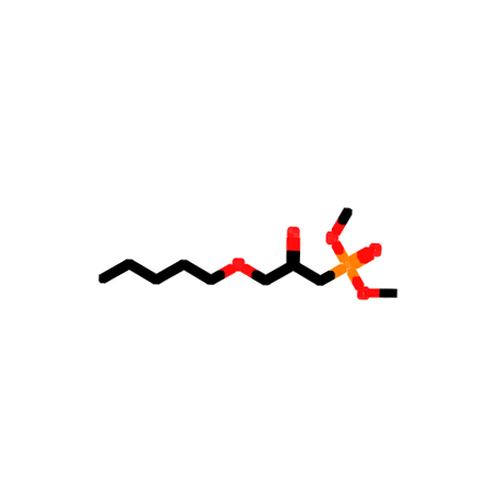 CCCCCOCC(=O)CP(=O)(OC)OC